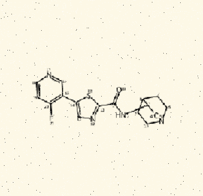 O=C(NC1CN2CCC1CC2)c1ncc(-c2cnccc2F)s1